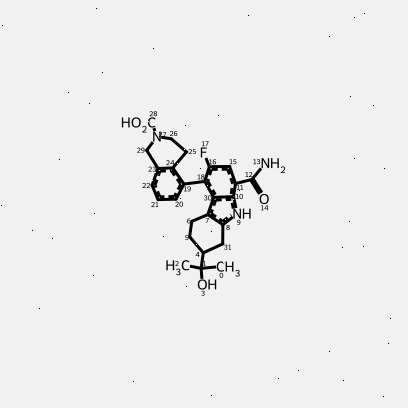 CC(C)(O)C1CCc2c([nH]c3c(C(N)=O)cc(F)c(-c4cccc5c4CCN(C(=O)O)C5)c23)C1